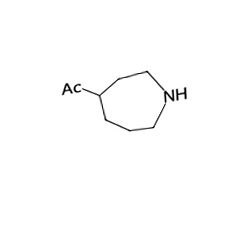 CC(=O)C1CCCNCC1